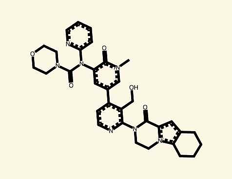 Cn1cc(-c2ccnc(N3CCn4c(cc5c4CCCC5)C3=O)c2CO)cc(N(C(=O)N2CCOCC2)c2ccccn2)c1=O